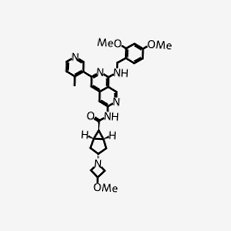 COc1ccc(CNc2nc(-c3cnccc3C)cc3cc(NC(=O)[C@H]4[C@@H]5C[C@H](N6CC(OC)C6)C[C@@H]54)ncc23)c(OC)c1